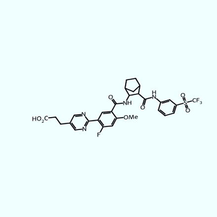 COc1cc(F)c(-c2ncc(CCC(=O)O)cn2)cc1C(=O)NC1C2CCC(C2)C1C(=O)Nc1cccc(S(=O)(=O)C(F)(F)F)c1